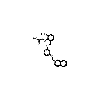 Cc1cccc(COc2cccc(OCc3ccc4ccccc4c3)c2)c1OCC(=O)O